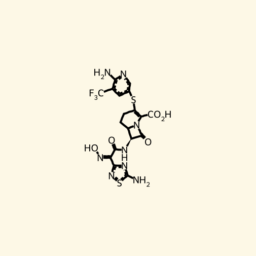 Nc1nc(/C(=N/O)C(=O)N[C@@H]2C(=O)N3C(C(=O)O)=C(Sc4cnc(N)c(C(F)(F)F)c4)CCC23)ns1